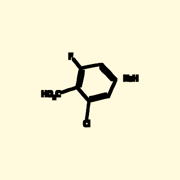 O=C(O)c1c(F)cccc1Cl.[NaH]